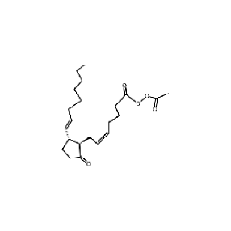 CCCCCC/C=C/[C@H]1CCC(=O)[C@@H]1C/C=C\CCCC(=O)OOC(C)=O